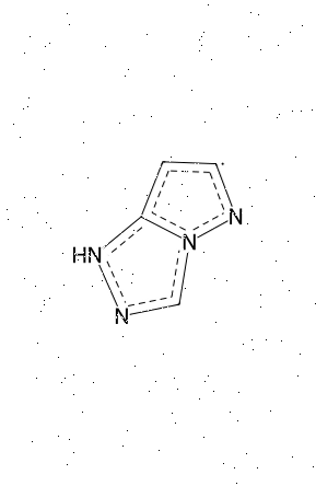 [c]1cc2[nH]ncn2n1